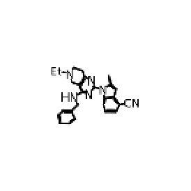 CCN1CCc2nc(-n3c(C)cc4c(C#N)cccc43)nc(NCc3ccccc3)c2C1